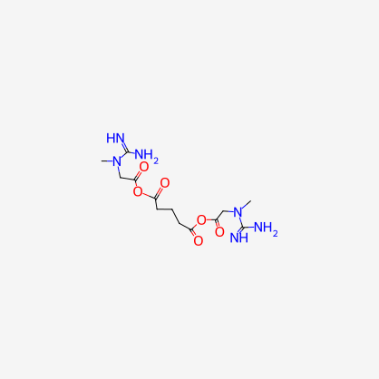 CN(CC(=O)OC(=O)CCCC(=O)OC(=O)CN(C)C(=N)N)C(=N)N